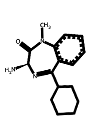 CN1C(=O)[C@H](N)N=C(C2CCCCC2)c2ccccc21